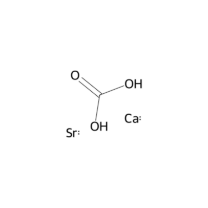 O=C(O)O.[Ca].[Sr]